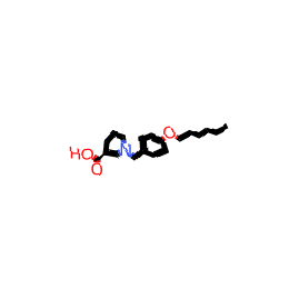 CCCCCCOc1ccc(CN2CCC[C@H](C(=O)O)C2)cc1